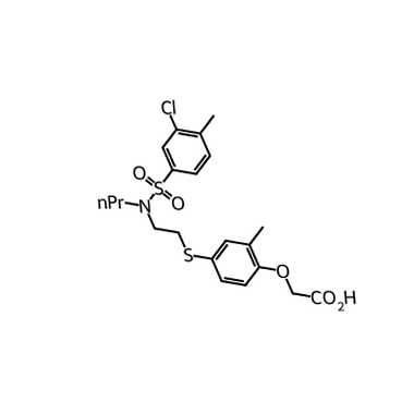 CCCN(CCSc1ccc(OCC(=O)O)c(C)c1)S(=O)(=O)c1ccc(C)c(Cl)c1